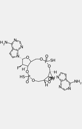 Nc1ncnc2c1ccn2[C@@H]1OC2COP(=O)(S)O[C@@H]3[C@H](O)[C@@H](COP(=O)(S)O[C@H]2[C@H]1F)O[C@H]3n1ccc2c(N)ncnc21